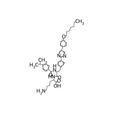 CCCCCCCOc1ccc(-c2cnc(-c3ccc(CC(NC(=O)c4ccc(C(C)C)cc4)C(=O)NC(CCCCN)C(=O)O)cc3)nc2)cc1